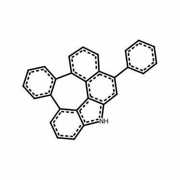 c1ccc(-c2cc3[nH]c4cccc5c4c3c3c(cccc23)-c2ccccc2-5)cc1